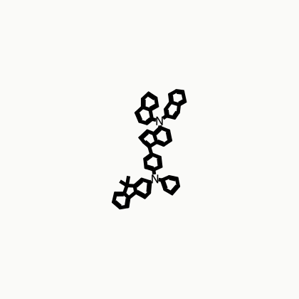 CC1(C)c2ccccc2-c2ccc(N(c3ccccc3)c3ccc(-c4cccc5c(N(c6ccc7ccccc7c6)c6cccc7ccccc67)cccc45)cc3)cc21